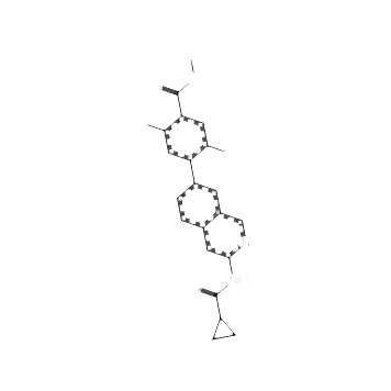 COC(=O)c1cc(C)c(-c2ccc3cc(NC(=O)C4CC4)ncc3c2)cc1F